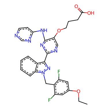 CCOc1cc(F)c(Cn2nc(-c3ncc(OCCCC(=O)O)c(Nc4ccncn4)n3)c3ccccc32)c(F)c1